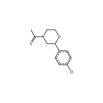 CC(=S)N1CCOC(c2ccc(Cl)cc2)C1